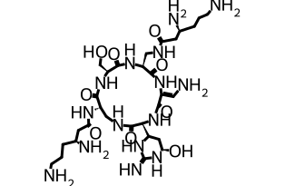 N=C1NC([C@@H]2NC(=O)/C(=C/N)NC(=O)[C@H](CNC(=O)C[C@@H](N)CCCN)NC(=O)[C@H](CO)NC(=O)[C@@H](NC(=O)C[C@@H](N)CCCN)CNC2=O)C[C@@H](O)N1